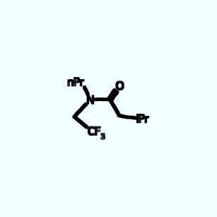 CCCN(CC(F)(F)F)C(=O)CC(C)C